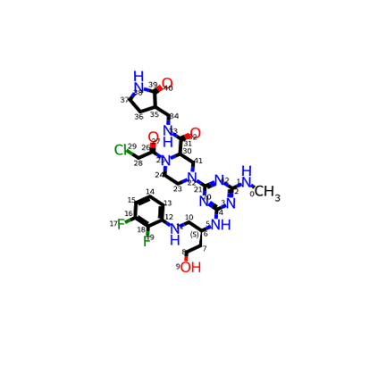 CNc1nc(N[C@@H](CCO)CNc2cccc(F)c2F)nc(N2CCN(C(=O)CCl)C(C(=O)NCC3CCNC3=O)C2)n1